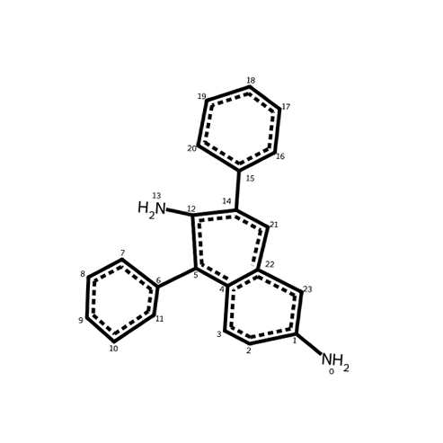 Nc1ccc2c(-c3ccccc3)c(N)c(-c3ccccc3)cc2c1